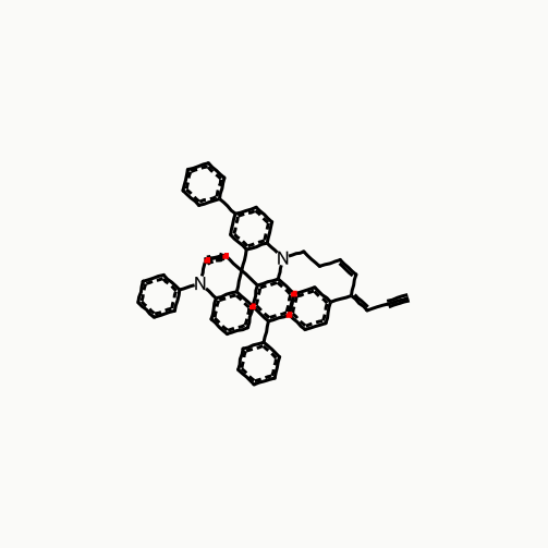 C#C/C=C(\C=C/CCN1c2ccc(-c3ccccc3)cc2C2(c3cc(-c4ccccc4)ccc31)c1ccccc1N(c1ccccc1)c1ccccc12)c1ccccc1